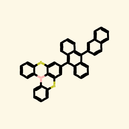 c1ccc2c(c1)Sc1cc(-c3c4ccccc4c(-c4ccc5ccccc5c4)c4ccccc34)cc3c1B2c1ccccc1S3